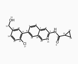 O=C(Nc1cc2ccc(-c3cc(CO)ccc3Cl)cc2cn1)C1CC1